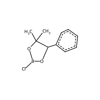 CC1(C)OB(Cl)OC1c1ccccc1